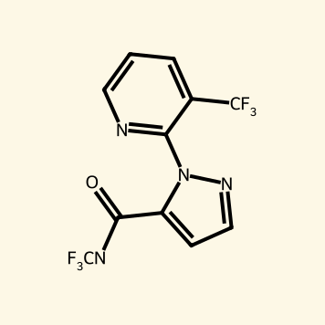 O=C(NC(F)(F)F)c1ccnn1-c1ncccc1C(F)(F)F